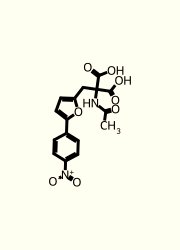 CC(=O)NC(Cc1ccc(-c2ccc([N+](=O)[O-])cc2)o1)(C(=O)O)C(=O)O